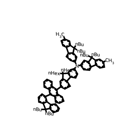 CCCCCCC1(CCCCCC)c2cc(-c3c4ccccc4c(-c4cccc5c4-c4ccccc4C5(CCCC)CCCC)c4ccccc34)ccc2-c2ccc(N(c3ccc4c(c3)C(CCCC)(CCCC)c3cc(C)ccc3-4)c3ccc4c(c3)C(CCCC)(CCCC)c3cc(C)ccc3-4)cc21